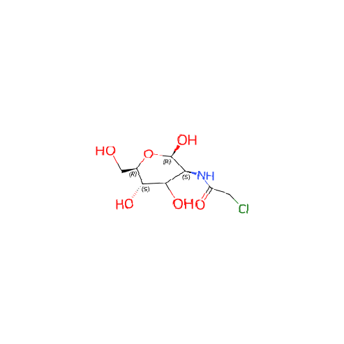 O=C(CCl)N[C@H]1C(O)[C@H](O)[C@@H](CO)O[C@H]1O